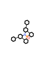 O=P12c3ccccc3-c3cc(-c4ccccc4)ccc3N1c1ccc(-c3ccccc3)cc1-c1ccccc12